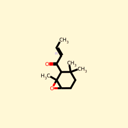 C/C=C/C(=O)C1C(C)(C)CCC2OC21C